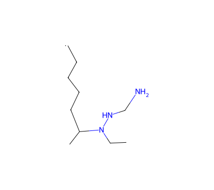 [CH2]CCCCC(C)N(CC)NCN